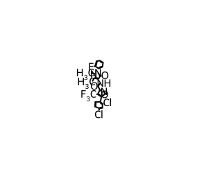 Cc1c(NC(=O)c2noc(-c3ccc(Cl)cc3Cl)c2C(F)(F)F)c(=O)n(-c2ccccc2F)n1C